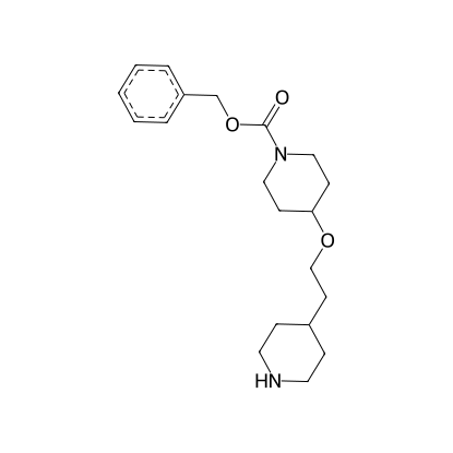 O=C(OCc1ccccc1)N1CCC(OCCC2CCNCC2)CC1